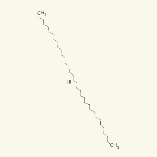 CCCCCCCCCCCCCCCCCCCCCCCCCCCCCCCCCCC.I